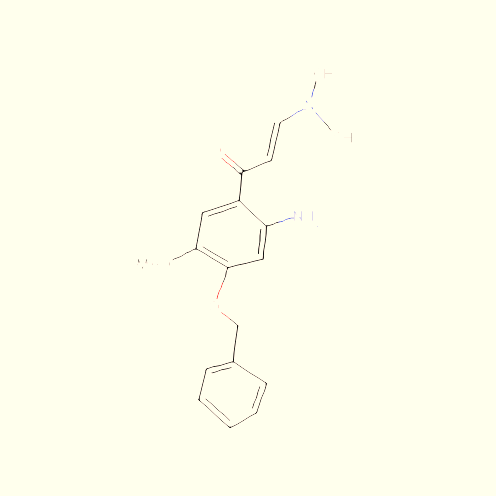 COc1cc(C(=O)C=CN(C)C)c(N)cc1OCc1ccccc1